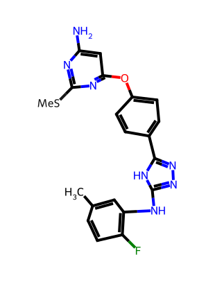 CSc1nc(N)cc(Oc2ccc(-c3nnc(Nc4cc(C)ccc4F)[nH]3)cc2)n1